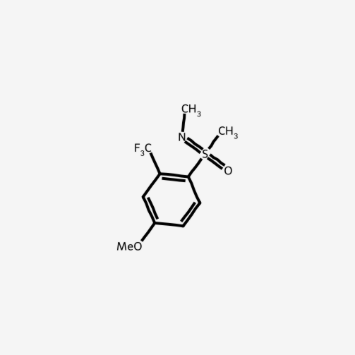 CN=S(C)(=O)c1ccc(OC)cc1C(F)(F)F